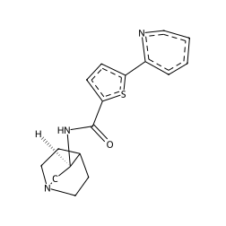 O=C(N[C@@H]1CN2CCC1CC2)c1ccc(-c2ccccn2)s1